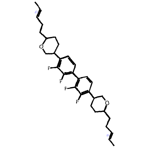 C/C=C/CCC1CCC(c2ccc(-c3ccc(C4CCC(CC/C=C/C)OC4)c(F)c3F)c(F)c2F)CO1